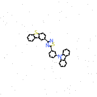 c1cc(-c2nc(-c3ccc4sc5ccccc5c4c3)ns2)cc(-n2c3ccccc3c3ccccc32)c1